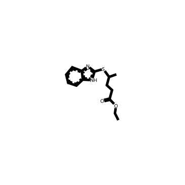 CCOC(=O)CCC(C)Sc1nc2ccccc2[nH]1